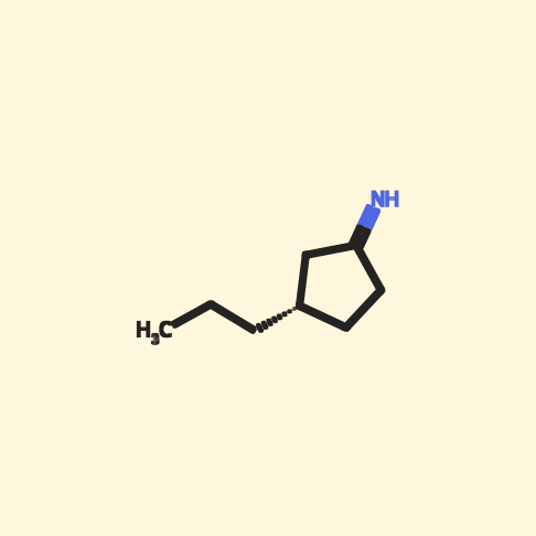 CCC[C@H]1CCC(=N)C1